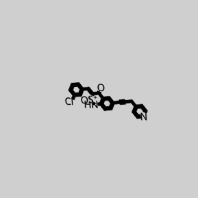 O=C1/C(=C/c2cccc(Cl)c2)[S+]([O-])Nc2ccc(C#CCc3ccncc3)cc21